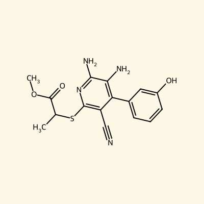 COC(=O)C(C)Sc1nc(N)c(N)c(-c2cccc(O)c2)c1C#N